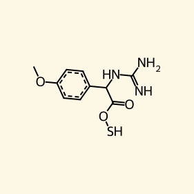 COc1ccc(C(NC(=N)N)C(=O)OS)cc1